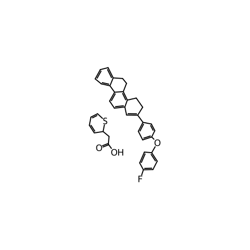 Fc1ccc(Oc2ccc(C3=Cc4ccc5c(c4CC3)CCc3ccccc3-5)cc2)cc1.O=C(O)CC1C=CC=CS1